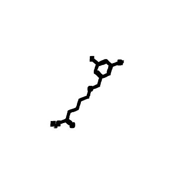 CC(=O)CCCCOCc1cc(F)cc(Br)c1